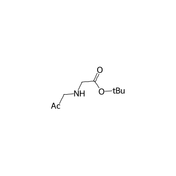 CC(=O)CNCC(=O)OC(C)(C)C